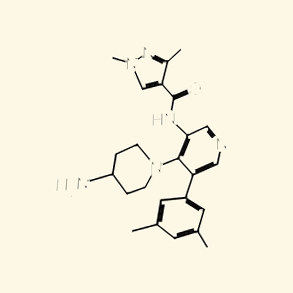 Cc1cc(C)cc(-c2cncc(NC(=O)c3cn(C)nc3C)c2N2CCC(N)CC2)c1